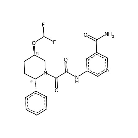 NC(=O)c1cncc(NC(=O)C(=O)N2C[C@H](OC(F)F)CC[C@H]2c2ccccc2)c1